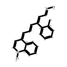 CC/N=C/C=C(/C=C/C=C1/C=CN(CC)c2ccccc21)c1ccccc1C